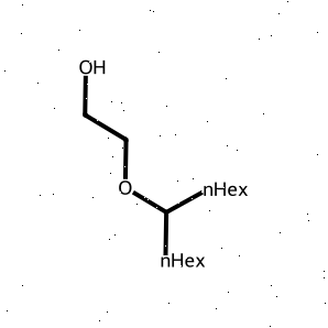 CCCCCCC(CCCCCC)OCCO